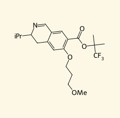 COCCCOc1cc2c(cc1C(=O)OC(C)(C)C(F)(F)F)C=NC(C(C)C)C2